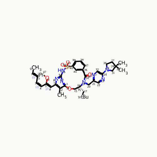 C/C=C/C=C\C(=C\c1nc2nc(c1C)OC[C@@H](CC(C)(C)C)N(Cc1cnc(N3CCC(C)(C)C3)cn1)C(=O)c1cccc(c1)S(=O)(=O)N2)OC(C)C